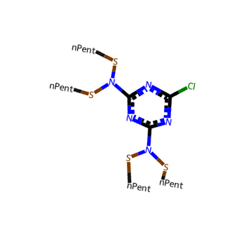 CCCCCSN(SCCCCC)c1nc(Cl)nc(N(SCCCCC)SCCCCC)n1